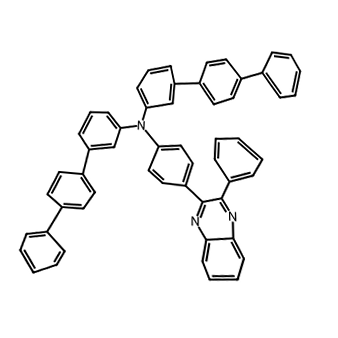 c1ccc(-c2ccc(-c3cccc(N(c4ccc(-c5nc6ccccc6nc5-c5ccccc5)cc4)c4cccc(-c5ccc(-c6ccccc6)cc5)c4)c3)cc2)cc1